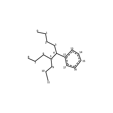 CCCCC([C](CCC)CCC)c1ccccc1